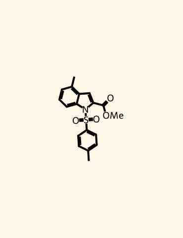 COC(=O)c1cc2c(C)cccc2n1S(=O)(=O)c1ccc(C)cc1